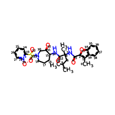 Cc1c(C(=O)NC(C)(CC(C)C)C(=O)NC2CCCN(S(=O)(=O)c3cccc[n+]3[O-])CC2=O)oc2ccccc12